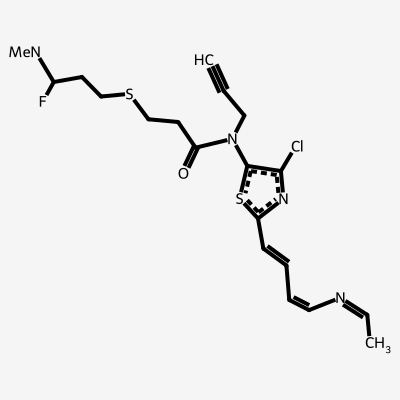 C#CCN(C(=O)CCSCCC(F)NC)c1sc(/C=C/C=C\N=C/C)nc1Cl